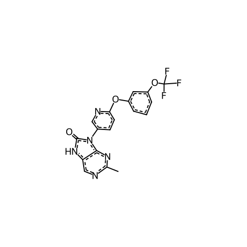 Cc1ncc2[nH]c(=O)n(-c3ccc(Oc4cccc(OC(F)(F)F)c4)nc3)c2n1